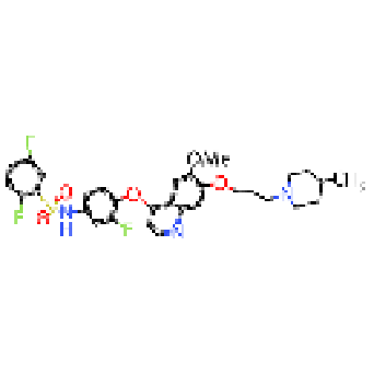 COc1cc2c(Oc3ccc(NS(=O)(=O)c4cc(F)ccc4F)cc3F)ccnc2cc1OCCCN1CCC(C)CC1